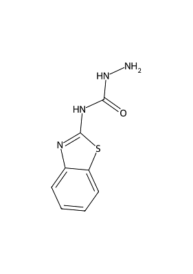 NNC(=O)Nc1nc2ccccc2s1